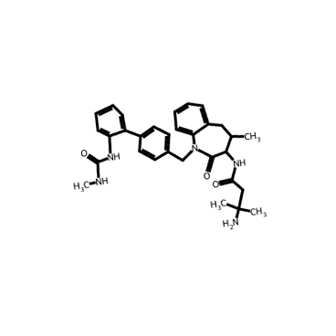 CNC(=O)Nc1ccccc1-c1ccc(CN2C(=O)C(NC(=O)CC(C)(C)N)C(C)Cc3ccccc32)cc1